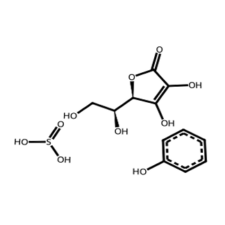 O=C1O[C@H]([C@@H](O)CO)C(O)=C1O.O=S(O)O.Oc1ccccc1